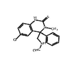 CN1C(=S)Nc2ccc(Cl)cc2C1(CNC=O)c1ccccc1